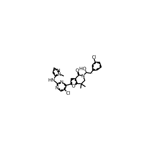 Cn1nccc1Nc1ncc(Cl)c(-c2cc3c(o2)C(C)(C)CN([C@@H](O)[CH]c2cccc(Cl)c2)C3=O)n1